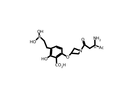 CC(=O)[C@H](N)CC(=O)N1CC(Oc2ccc(CCB(O)O)c(O)c2C(=O)O)C1